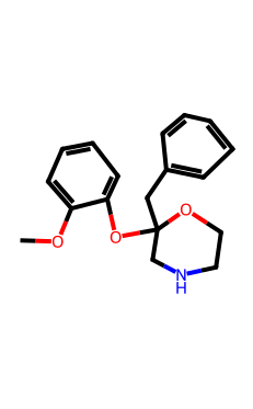 COc1ccccc1OC1(Cc2ccccc2)CNCCO1